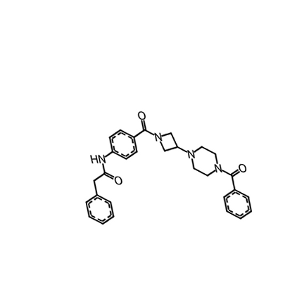 O=C(Cc1ccccc1)Nc1ccc(C(=O)N2CC(N3CCN(C(=O)c4ccccc4)CC3)C2)cc1